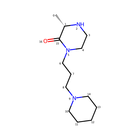 C[C@@H]1NCCN(CCCN2CCCCC2)C1=O